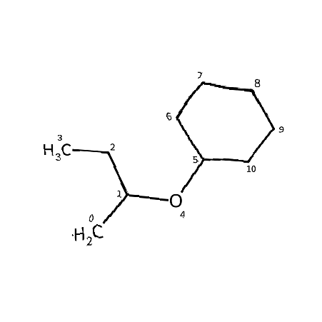 [CH2]C(CC)OC1CCCCC1